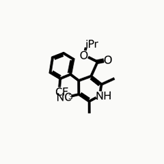 CC1=C(C#N)C(c2ccccc2C(F)(F)F)C(C(=O)OC(C)C)=C(C)N1